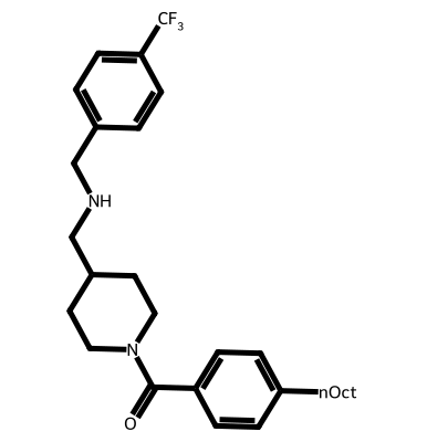 CCCCCCCCc1ccc(C(=O)N2CCC(CNCc3ccc(C(F)(F)F)cc3)CC2)cc1